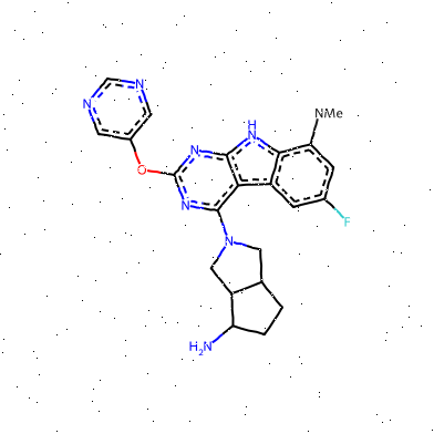 CNc1cc(F)cc2c1[nH]c1nc(Oc3cncnc3)nc(N3CC4CCC(N)C4C3)c12